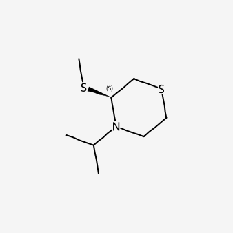 CS[C@H]1CSCCN1C(C)C